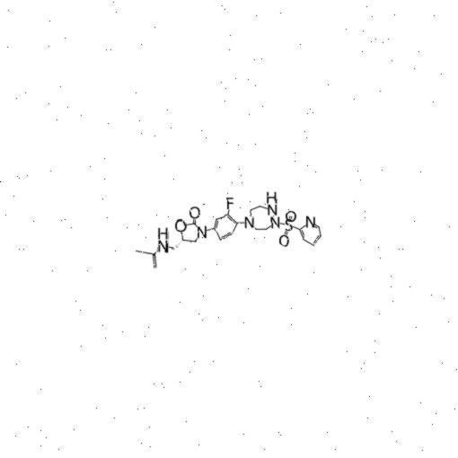 C=C(C)NC[C@H]1CN(c2ccc(N3CCNN(S(=O)(=O)c4ccccn4)CC3)c(F)c2)C(=O)O1